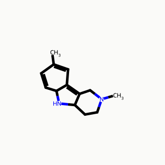 CC1=CC2=C3CN(C)CCC3NC2C=C1